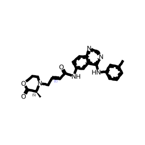 Cc1cccc(Nc2ncnc3ccc(NC(=O)/C=C/CN4CCOC(=O)[C@@H]4C)cc23)c1